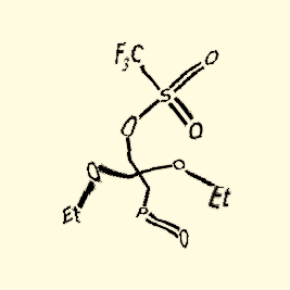 CCOC(OCC)(OS(=O)(=O)C(F)(F)F)P=O